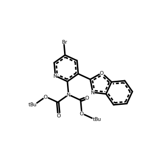 CC(C)(C)OC(=O)N(C(=O)OC(C)(C)C)c1ncc(Br)cc1-c1nc2ccccc2o1